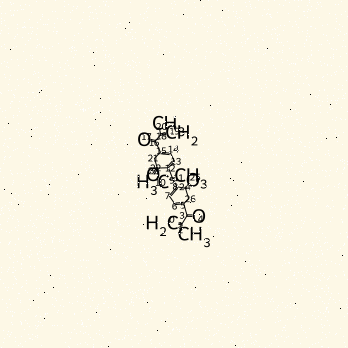 C=C(C)C(=O)C1=CC=C(C(C)(C)C2=CC=C(C(=O)C(=C)C)CC2=O)C(=O)C1